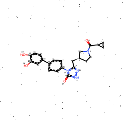 O=C(C1CC1)N1CC[C@@H](Cc2n[nH]c(=O)n2-c2ccc(-c3ccc(O)c(O)c3)cc2)C1